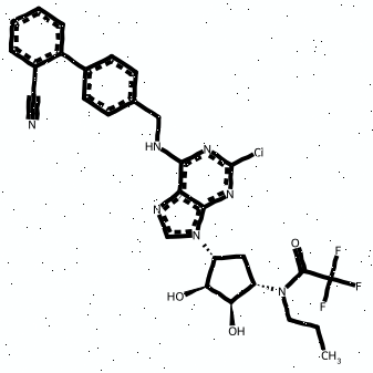 CCCN(C(=O)C(F)(F)F)[C@H]1C[C@@H](n2cnc3c(NCc4ccc(-c5ccccc5C#N)cc4)nc(Cl)nc32)[C@H](O)[C@@H]1O